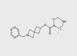 C[C@@H]1CNC[C@H](C)N1C(=O)OC1CC2(C1)CN(Cc1ccccc1)C2